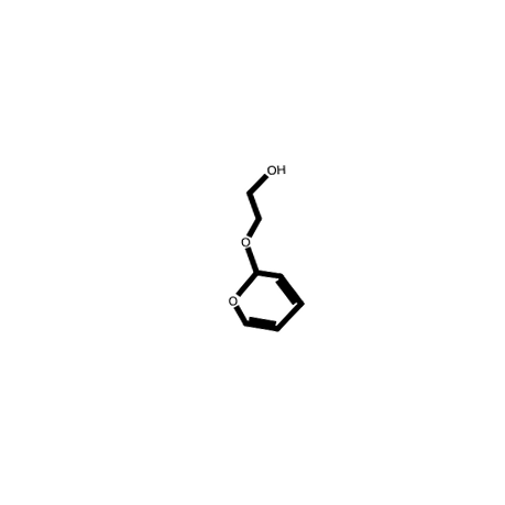 OCCOC1C=CC=CO1